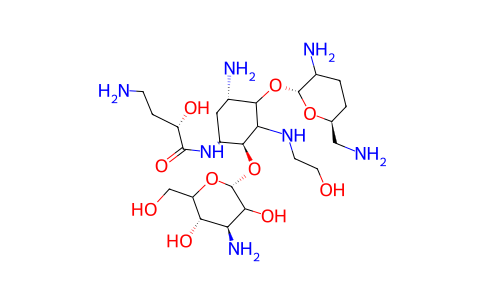 NCC[C@H](O)C(=O)N[C@@H]1C[C@H](N)C(O[C@H]2O[C@H](CN)CCC2N)C(NCCO)[C@H]1O[C@H]1OC(CO)[C@@H](O)[C@H](N)C1O